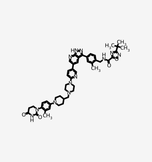 Cc1cc(-c2n[nH]c3ncc(-c4ccc(N5CCN(CC6CCN(c7ccc(N8CCC(=O)NC8=O)c(C)c7)CC6)CC5)nc4)cc23)ccc1CNC(=O)c1nc(C(C)(C)C)no1